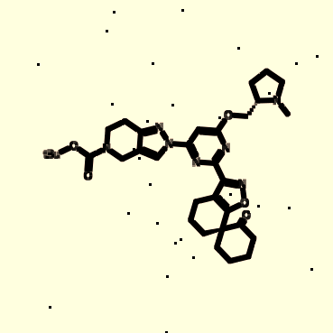 CN1CCC[C@H]1COc1cc(-n2cc3c(n2)CCN(C(=O)OC(C)(C)C)C3)nc(-c2noc3c2CCC[C@@]32CCCCC2=O)n1